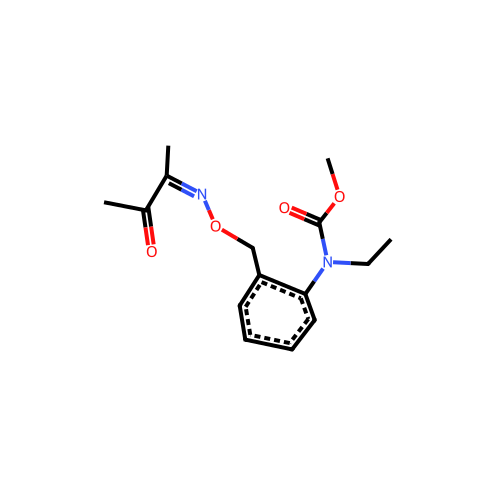 CCN(C(=O)OC)c1ccccc1CON=C(C)C(C)=O